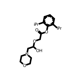 CC(C)c1cccc(C(C)C)c1OC(=O)COC(O)CN1CCOCC1